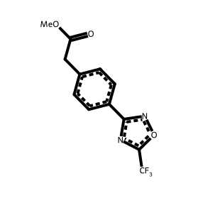 COC(=O)Cc1ccc(-c2noc(C(F)(F)F)n2)cc1